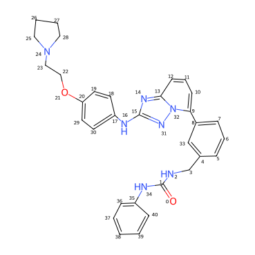 O=C(NCc1cccc(-c2cccc3nc(Nc4ccc(OCCN5CCCC5)cc4)nn23)c1)Nc1ccccc1